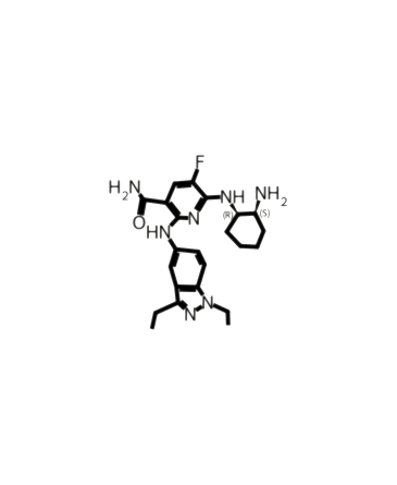 CCc1nn(CC)c2ccc(Nc3nc(N[C@@H]4CCCC[C@@H]4N)c(F)cc3C(N)=O)cc12